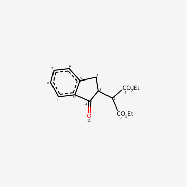 CCOC(=O)C(C(=O)OCC)C1Cc2ccccc2C1=O